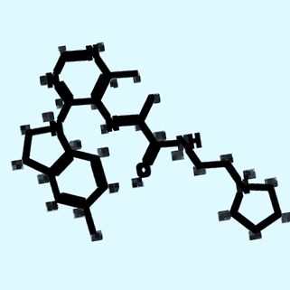 C/C(=N\c1c(C)ncnc1N1CCc2cc(C)ccc21)C(=O)NCCN1CCCC1